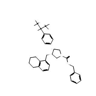 O=C(NCc1ccccc1)N1C[C@@H](Cc2cccc3c2CCCC3)[C@H](c2ccc(C(O)(C(F)(F)F)C(F)(F)F)cc2)C1